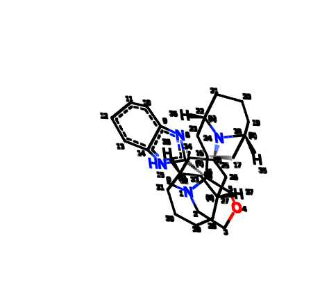 CN1CCOC[C@]1(c1nc2ccccc2[nH]1)[C@H]1C[C@H]2CCC[C@@H](C1)N2[C@@H]1C[C@@H]2CCCC[C@@H](C2)C1